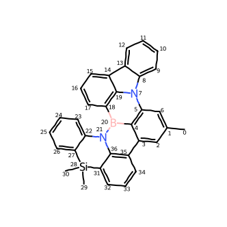 Cc1cc2c3c(c1)-n1c4ccccc4c4cccc(c41)B3N1c3ccccc3[Si](C)(C)c3cccc-2c31